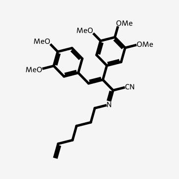 C=CCCCC/N=C(C#N)\C(=C\c1ccc(OC)c(OC)c1)c1cc(OC)c(OC)c(OC)c1